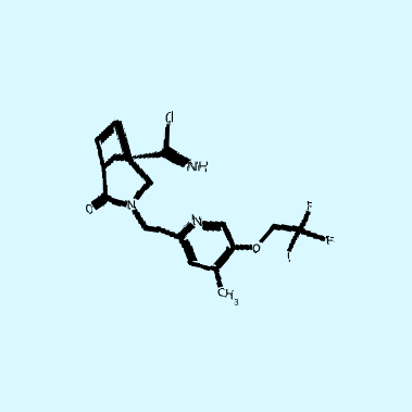 Cc1cc(CN2C[C@@]3(C(=N)Cl)C=CC3C2=O)ncc1OCC(F)(F)I